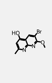 COc1nc2nc(C)cc(O)c2cc1Br